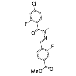 COC(=O)c1ccc(/C=N/N(C)C(=O)c2ccc(Cl)cc2F)c(F)c1